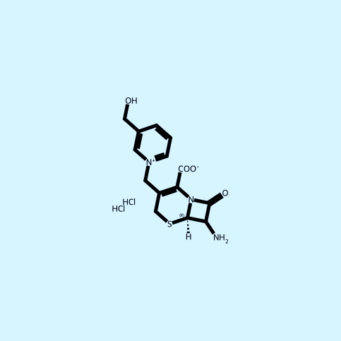 Cl.Cl.NC1C(=O)N2C(C(=O)[O-])=C(C[n+]3cccc(CO)c3)CS[C@H]12